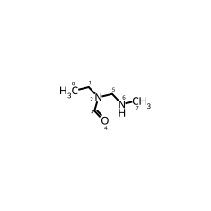 CCN(C=O)CNC